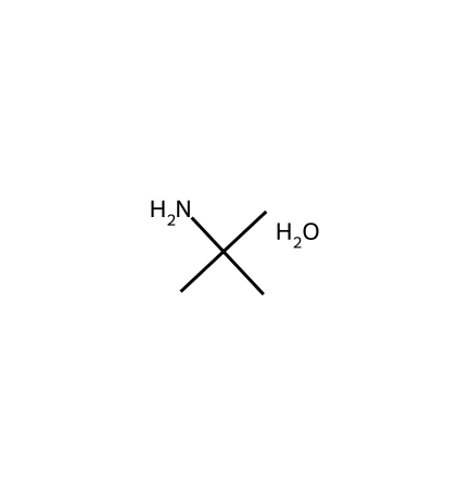 CC(C)(C)N.O